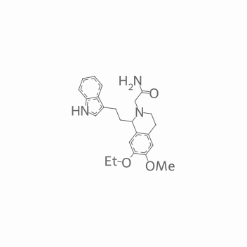 CCOc1cc2c(cc1OC)CCN(CC(N)=O)C2CCc1c[nH]c2ccccc12